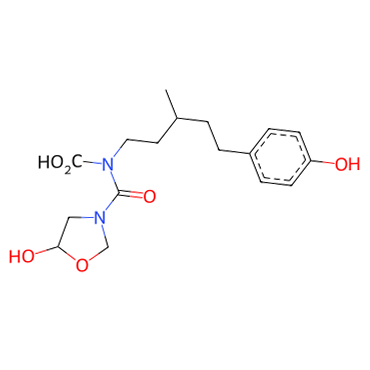 CC(CCc1ccc(O)cc1)CCN(C(=O)O)C(=O)N1COC(O)C1